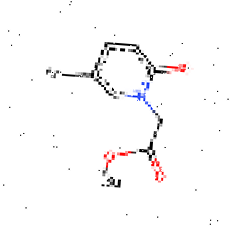 CC(=O)c1ccc(=O)n(CC(=O)OC(C)(C)C)c1